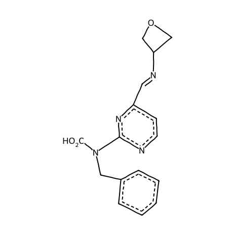 O=C(O)N(Cc1ccccc1)c1nccc(C=NC2COC2)n1